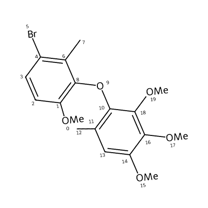 COc1ccc(Br)c(C)c1Oc1c(C)cc(OC)c(OC)c1OC